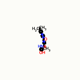 C=C(C)c1ccc(N2CCN(C(=O)CN3CC[C@@H](C(=O)Nc4ccc(O)cc4C)C3)CC2)cc1